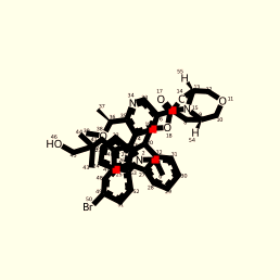 CCn1c(-c2cc(C3C[C@H]4COC[C@@H](C3)N4C(=O)OCC3c4ccccc4-c4ccccc43)cnc2[C@H](C)OC)c(CC(C)(C)CO)c2cc(Br)ccc21